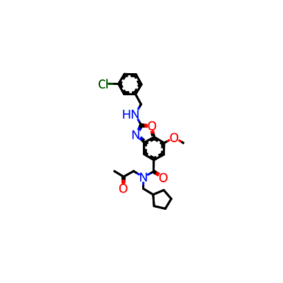 COc1cc(C(=O)N(CC(C)=O)CC2CCCC2)cc2nc(NCc3cccc(Cl)c3)oc12